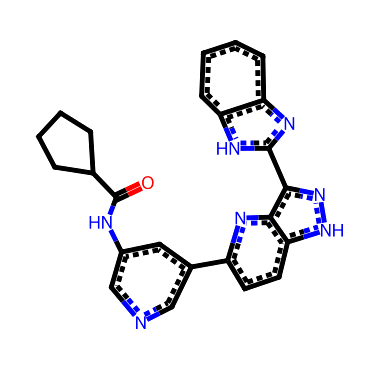 O=C(Nc1cncc(-c2ccc3[nH]nc(-c4nc5ccccc5[nH]4)c3n2)c1)C1CCCC1